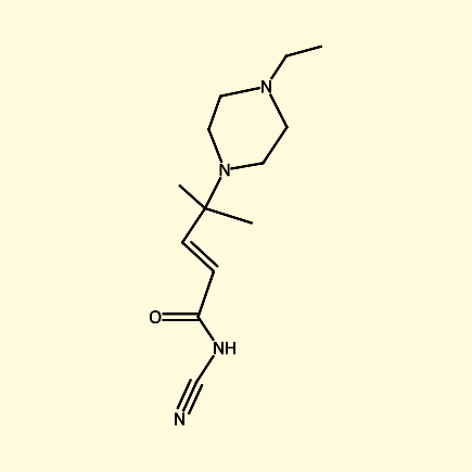 CCN1CCN(C(C)(C)C=CC(=O)NC#N)CC1